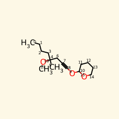 CCCCC(C)(CC#COC1CCCCO1)OC